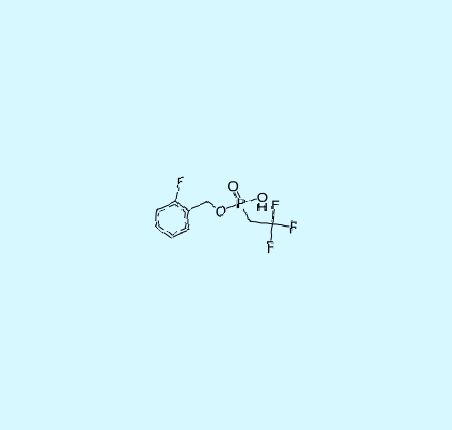 O=P(O)(CC(F)(F)F)OCc1ccccc1F